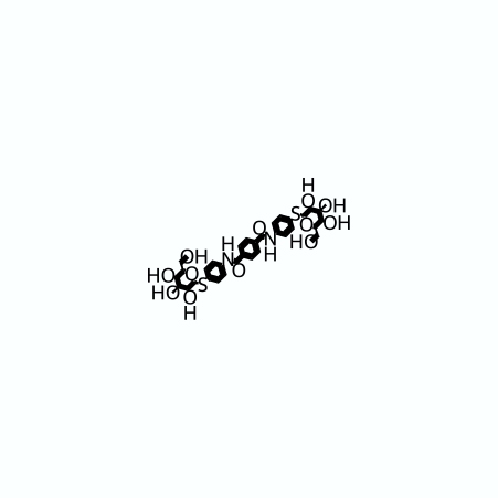 O=C(Nc1ccc(S[C@@H]2O[C@H](CO)[C@@H](O)[C@H](O)[C@H]2O)cc1)c1ccc(C(=O)Nc2ccc(S[C@@H]3O[C@H](CO)[C@@H](O)[C@H](O)[C@H]3O)cc2)cc1